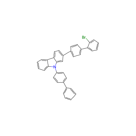 Brc1ccccc1-c1ccc(-c2ccc3c4ccccc4n(-c4ccc(-c5ccccc5)cc4)c3c2)cc1